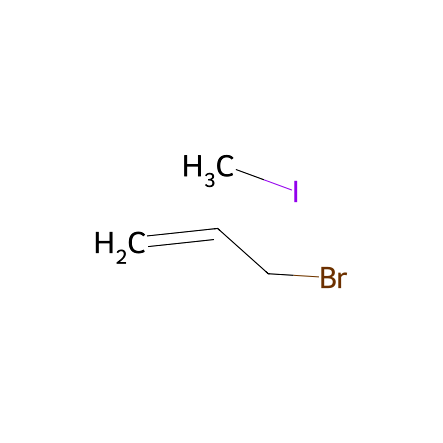 C=CCBr.CI